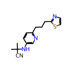 CC(C)(C#N)Nc1ccc(CCCc2nccs2)nc1